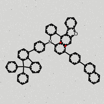 c1ccc(C2(c3ccccc3)c3ccccc3-c3c(-c4ccc(N(c5ccc(-c6ccc(-c7ccc8ccccc8c7)cc6)cc5)c5ccccc5-c5cccc6oc7ccccc7c56)cc4)cccc32)cc1